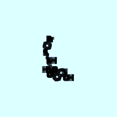 O=S(=O)(NCCNCCSc1ccc(Br)cc1)c1cccc2c(O)nccc12